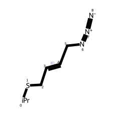 CC(C)SC/C=C/CN=[N+]=[N-]